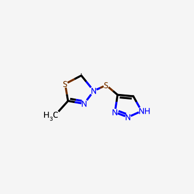 CC1=NN(Sc2c[nH]nn2)[CH]S1